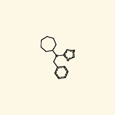 c1ccc(CN(c2cnco2)C2CCCCCC2)cc1